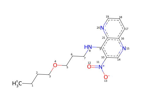 CCCCOCCCNc1c([N+](=O)[O-])cnc2cccnc12